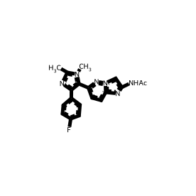 CC(=O)Nc1cn2nc(-c3c(-c4ccc(F)cc4)nc(C)n3C)ccc2n1